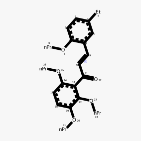 CCCOc1ccc(CC)cc1/C=C/C(=O)c1c(OCCC)ccc(OCCC)c1OCCC